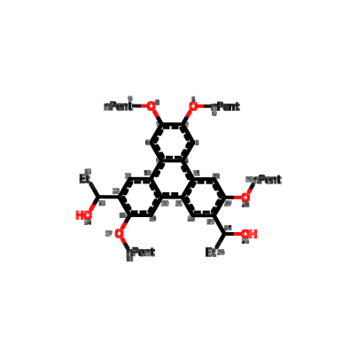 CCCCCOc1cc2c(cc1OCCCCC)c1cc(C(O)CC)c(OCCCCC)cc1c1cc(C(O)CC)c(OCCCCC)cc21